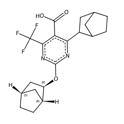 O=C(O)c1c(C2CC3CCC2C3)nc(O[C@@H]2C[C@H]3CC[C@@H]2C3)nc1C(F)(F)F